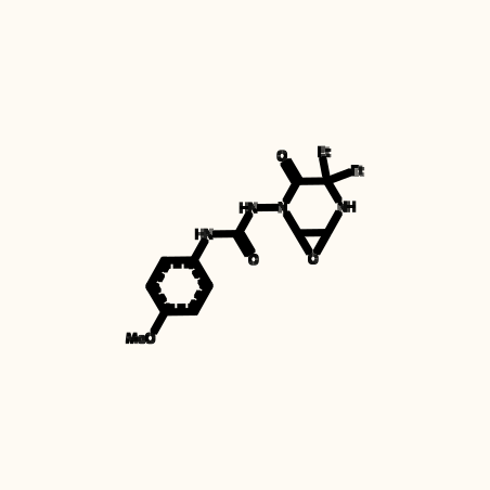 CCC1(CC)NC2OC2N(NC(=O)Nc2ccc(OC)cc2)C1=O